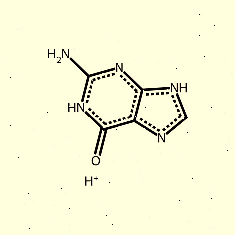 Nc1nc2[nH]cnc2c(=O)[nH]1.[H+]